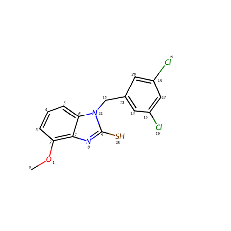 COc1cccc2c1nc(S)n2Cc1cc(Cl)cc(Cl)c1